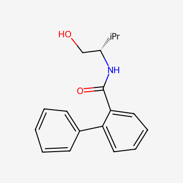 CC(C)[C@@H](CO)NC(=O)c1ccccc1-c1ccccc1